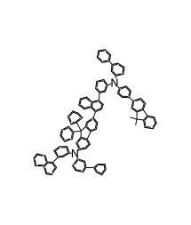 CC1(C)c2ccccc2-c2ccc(-c3ccc(N(c4cccc(-c5ccccc5)c4)c4cccc(-c5ccc(-c6ccc7c(c6)C(c6ccccc6)(c6ccccc6)c6cc(N(c8cccc(-c9ccccc9)c8)c8cccc(-c9cccc%10ccccc9%10)c8)ccc6-7)c6ccccc56)c4)cc3)cc21